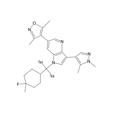 [2H]C([2H])(C1CCC(C)(F)CC1)n1cc(-c2cnn(C)c2C)c2ncc(-c3c(C)noc3C)cc21